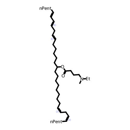 CCCCCC=C/C=C/C/C=C/CCCCCC(CCCCCCCC/C=C\C/C=C\CCCCC)OC(=O)CCCN(C)CC